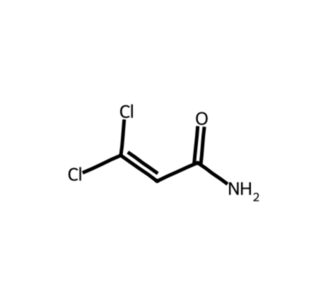 NC(=O)C=C(Cl)Cl